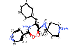 CN(C(=O)C(CC1CCCCC1)NC(=O)c1ccncc1)C1(C#N)CCNCC1